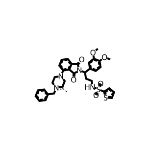 COc1ccc(C(CCNS(=O)(=O)c2cccs2)N2C(=O)c3cccc(N4CCN(Cc5ccccc5)[C@@H](C)C4)c3C2=O)cc1OC